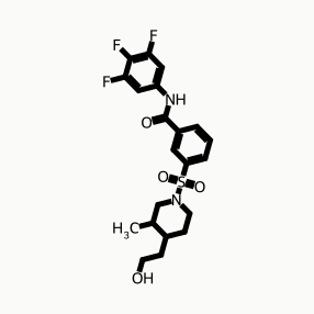 CC1CN(S(=O)(=O)c2cccc(C(=O)Nc3cc(F)c(F)c(F)c3)c2)CCC1CCO